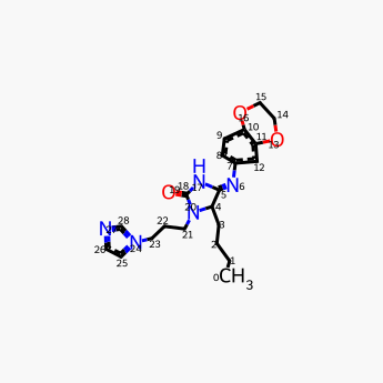 CCCCC1C(=Nc2ccc3c(c2)OCCO3)NC(=O)N1CCCn1ccnc1